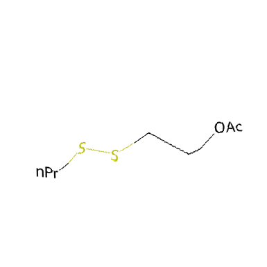 CCCSSCCOC(C)=O